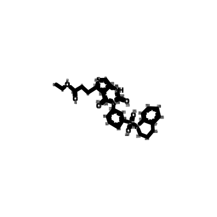 CCOC(=O)CCc1scc2[nH]c(=O)n(-c3cccc(S(=O)(=O)N4CCCc5ccccc54)c3)c(=O)c12